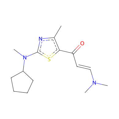 Cc1nc(N(C)C2CCCC2)sc1C(=O)/C=C/N(C)C